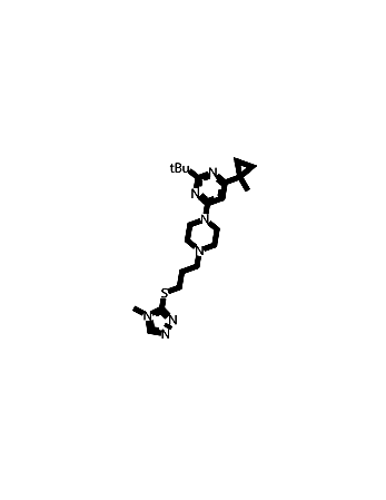 Cn1cnnc1SCCCN1CCN(c2cc(C3(C)CC3)nc(C(C)(C)C)n2)CC1